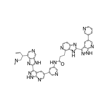 C=CC(CN=C)c1cncc2[nH]c(-c3n[nH]c4ncc(-c5cncc(NC(=O)CCc6nccc7nc(-c8n[nH]c9ncc(-c%10cccnc%10)cc89)[nH]c67)c5)cc34)nc12